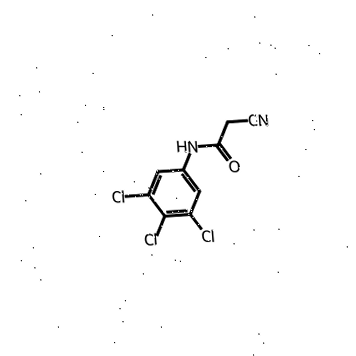 N#CCC(=O)Nc1cc(Cl)c(Cl)c(Cl)c1